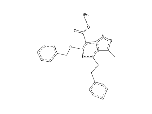 Cc1nnc2c(C(=O)OC(C)(C)C)c(OCc3ccccc3)cc(CCc3ccccc3)n12